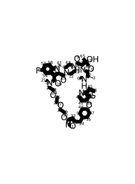 CN[C@@H](C)C(=O)N[C@H](C(=O)N1CCN(C(=O)c2c(C(=O)N(C)CCOCCOCCOc3cc(CC4CCC(Oc5ccnc6ccsc56)CC4)on3)c3cc(F)ccc3n2C)CC1)C(C)(C)O